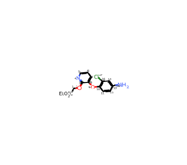 CCOC(=O)COc1ncccc1Oc1ccc(N)cc1Cl